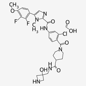 COc1ccc(-c2cnc(C(=O)Nc3ccc(C(=O)N4CCC(C(=O)NCC5(O)CNC5)CC4)c(Cl)c3)n2C)c(F)c1F.O=CO